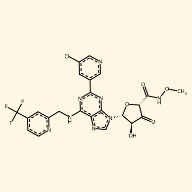 CONC(=O)[C@H]1O[C@@H](n2cnc3c(NCc4cc(C(F)(F)F)ccn4)nc(-c4cncc(Cl)c4)nc32)[C@H](O)C1=O